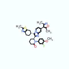 COc1ccc(N2C(=O)CCC[C@H]2c2nc3cc(-c4c(C)noc4C)ccn3c2[C@@H]2CCc3nc(C)sc3C2)cc1F